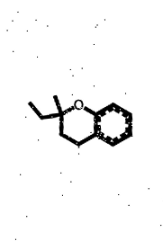 CCC1(C)C[CH]c2ccccc2O1